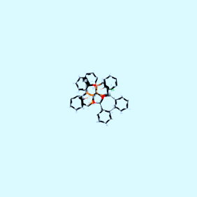 ClC1C([PH](c2ccccc2)(c2ccccc2)c2ccccc2)=C(C[PH](c2ccccc2)(c2ccccc2)c2ccccc2)c2ccccc2-c2ccccc21